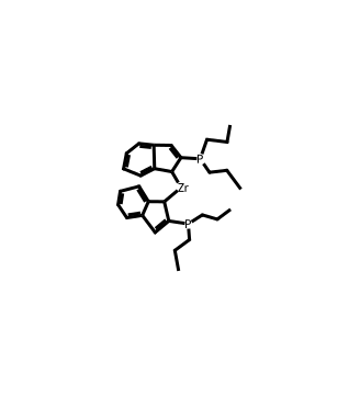 CCCP(CCC)C1=Cc2ccccc2[CH]1[Zr][CH]1C(P(CCC)CCC)=Cc2ccccc21